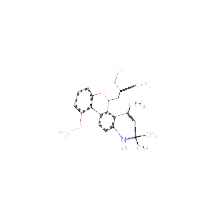 C=C(CCl)CC1Oc2cccc(OC)c2-c2ccc3c(c21)C(C)=CC(C)(C)N3